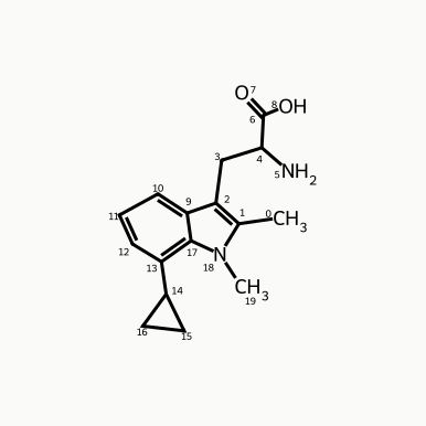 Cc1c(CC(N)C(=O)O)c2cccc(C3CC3)c2n1C